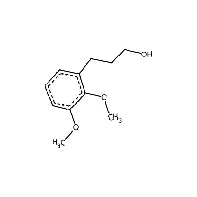 COc1cccc(CCCO)c1OC